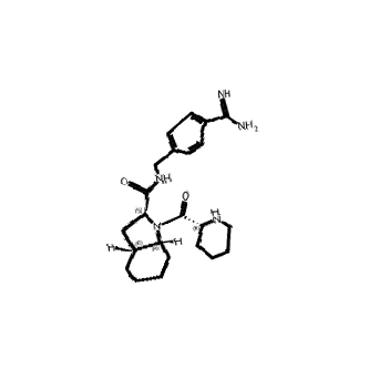 N=C(N)c1ccc(CNC(=O)[C@@H]2C[C@H]3CCCC[C@H]3N2C(=O)[C@H]2CCCCN2)cc1